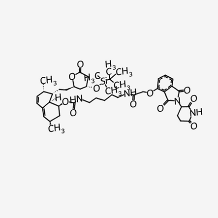 C[C@H]1C=C2C=C[C@H](C)[C@H](CC[C@@H]3C[C@@H](O[Si](C)(C)C(C)(C)C)CC(=O)O3)[C@H]2[C@@H](OC(=O)NCCCCCNC(=O)COc2cccc3c2C(=O)N(C2CCC(=O)NC2=O)C3=O)C1